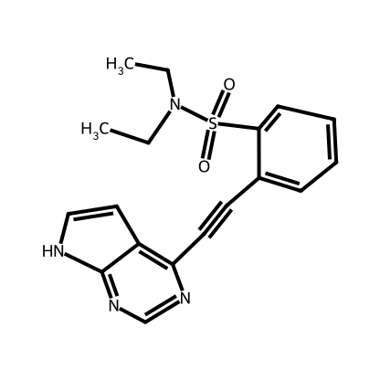 CCN(CC)S(=O)(=O)c1ccccc1C#Cc1ncnc2[nH]ccc12